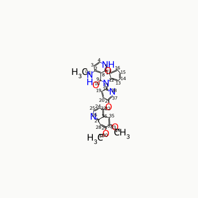 CNc1cc[nH]c(=O)c1C(=O)N(c1ccccc1)c1ccc(Oc2ccnc3cc(OC)c(OC)cc23)cn1